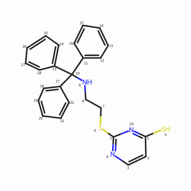 Sc1ccnc(SCCNC(c2ccccc2)(c2ccccc2)c2ccccc2)n1